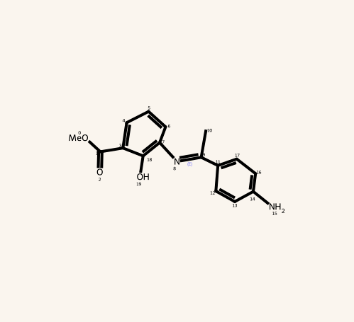 COC(=O)c1cccc(/N=C(\C)c2ccc(N)cc2)c1O